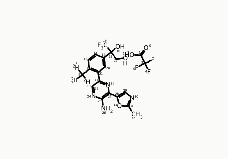 O=C(O)C(F)(F)F.[2H]C([2H])([2H])c1ccc(C(O)(CO)C(F)(F)F)cc1-c1cnc(N)c(-c2cnc(C)o2)n1